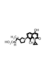 Cc1c(N2CCC([C@H](C)NC(=O)O)C2)ccc2c(O)cc(=O)n(C3CC3)c12